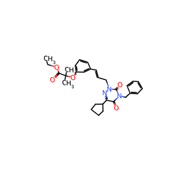 CCOC(=O)C(C)(C)Oc1cccc(/C=C/Cn2nc(C3CCCC3)c(=O)n(Cc3ccccc3)c2=O)c1